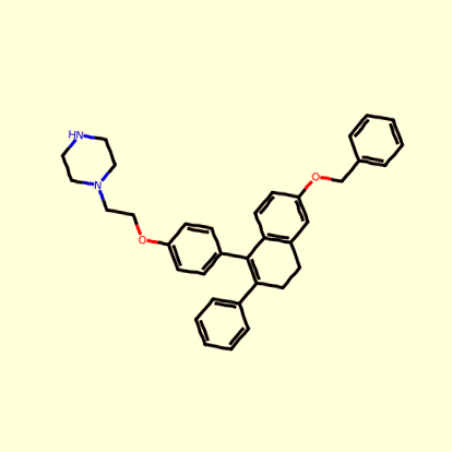 c1ccc(COc2ccc3c(c2)CCC(c2ccccc2)=C3c2ccc(OCCN3CCNCC3)cc2)cc1